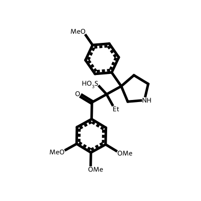 CCC(C(=O)c1cc(OC)c(OC)c(OC)c1)(C1(c2ccc(OC)cc2)CCNC1)S(=O)(=O)O